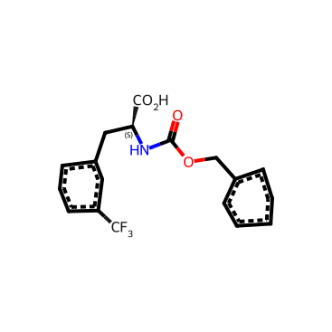 O=C(N[C@@H](Cc1cccc(C(F)(F)F)c1)C(=O)O)OCc1ccccc1